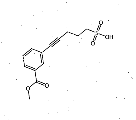 COC(=O)c1cccc(C#CCCCS(=O)(=O)O)c1